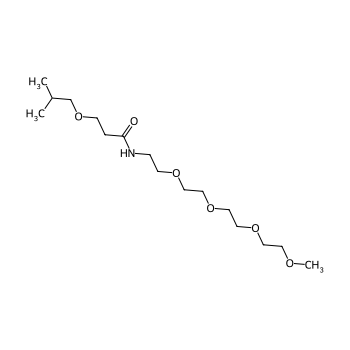 COCCOCCOCCOCCNC(=O)CCOCC(C)C